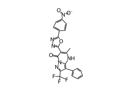 Cc1[nH]c2c(-c3ccccc3)c(C(F)(F)F)nn2c(=O)c1-c1nnc(-c2ccc([N+](=O)[O-])cc2)o1